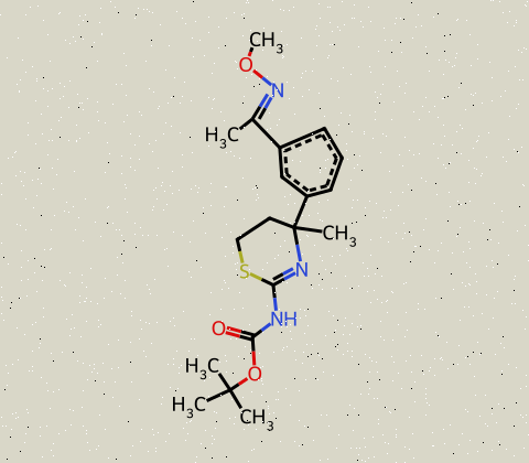 CO/N=C(\C)c1cccc(C2(C)CCSC(NC(=O)OC(C)(C)C)=N2)c1